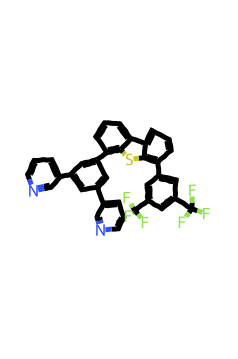 FC(F)(F)c1cc(-c2cccc3c2sc2c(-c4cc(-c5cccnc5)cc(-c5cccnc5)c4)cccc23)cc(C(F)(F)F)c1